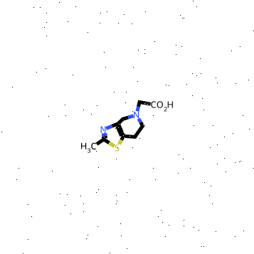 Cc1nc2c(s1)CCN(CC(=O)O)C2